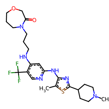 Cc1sc(C2CCN(C)CC2)nc1Nc1cc(NCCCN2CCCOCC2=O)c(C(F)(F)F)cn1